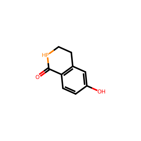 O=C1PCCc2cc(O)ccc21